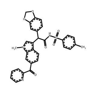 Cc1ccc(S(=O)(=O)NC(=O)C(c2ccc3c(c2)OCO3)c2cn(C)c3cc(C(=O)c4ccccn4)ccc23)cc1